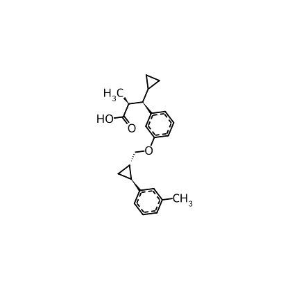 Cc1cccc([C@H]2C[C@@H]2COc2cccc([C@H](C3CC3)[C@H](C)C(=O)O)c2)c1